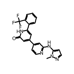 Cn1nccc1Nc1cc(-c2cc(-c3ccccc3C(F)(F)F)[nH]c(=O)c2)ccn1